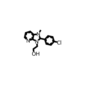 CN1c2cccnc2N(CCO)C1c1ccc(Cl)cc1